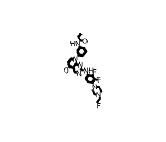 C=CC(=O)Nc1cccc(-n2ccc(=O)c3cnc(Nc4ccc(N5CCN(CCF)CC5)c(F)c4F)nc32)c1